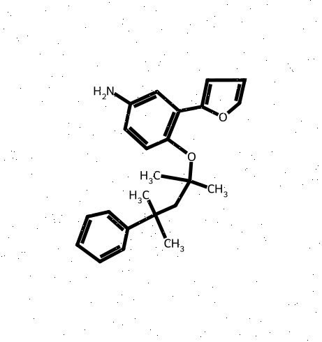 CC(C)(CC(C)(C)c1ccccc1)Oc1ccc(N)cc1-c1ccco1